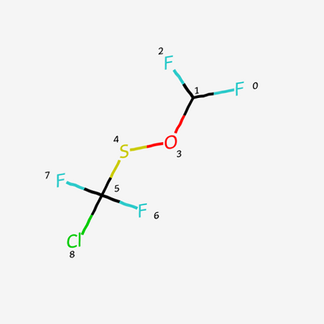 FC(F)OSC(F)(F)Cl